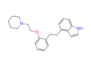 c1ccc(OCCN2CCCCC2)c(CCc2cccc3[nH]ccc23)c1